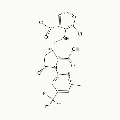 Cc1cc(C(F)(F)F)cc(N2C(=O)C[C@H](CNc3c(Cl)cccc3[N+](=O)[O-])[C@H]2C(=O)O)n1